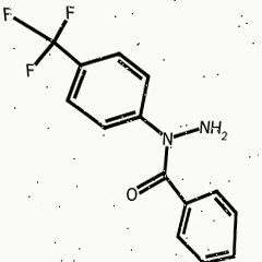 NN(C(=O)c1ccccc1)c1ccc(C(F)(F)F)cc1